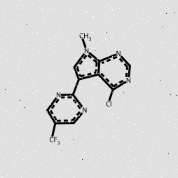 Cn1cc(-c2ncc(C(F)(F)F)cn2)c2c(Cl)ncnc21